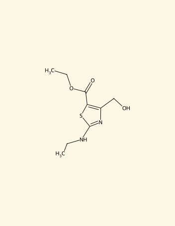 CCNc1nc(CO)c(C(=O)OCC)s1